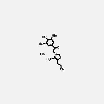 Br.CC1=C(CCO)SCN1CC(=O)c1cc(C(C)(C)C)c(O)c(C(C)(C)C)c1